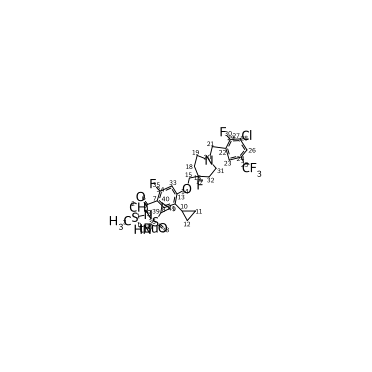 CC(C)(C)S(C)(C)N(C(=O)c1cc(C2CC2)c(OCC2(F)CCN(Cc3cc(C(F)(F)F)cc(Cl)c3F)CC2)cc1F)S(=N)(=O)C1CC1